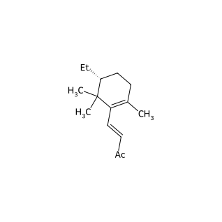 CC[C@@H]1CCC(C)=C(/C=C/C(C)=O)C1(C)C